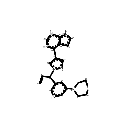 C=CC(c1cncc(N2CCOCC2)c1)n1cc(-c2ncnc3[nH]ccc23)cn1